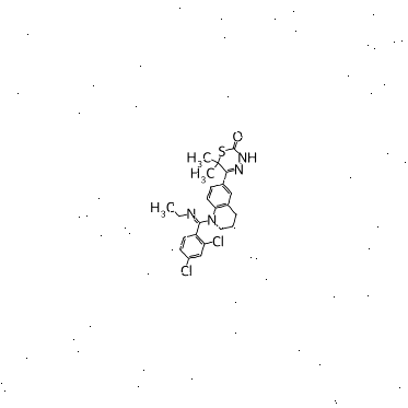 CCN=C(c1ccc(Cl)cc1Cl)N1CCCc2cc(C3=NNC(=O)SC3(C)C)ccc21